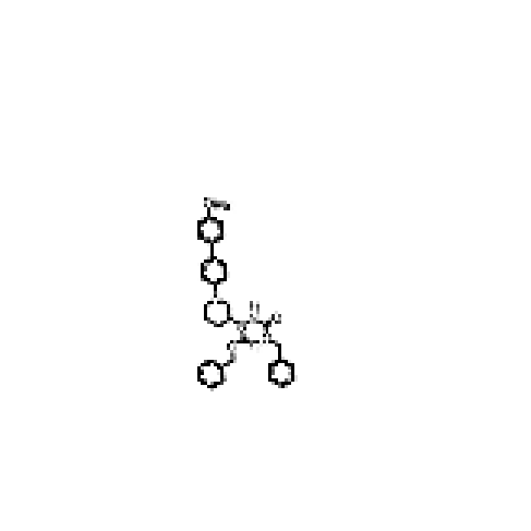 COc1ccc(-c2ccc(N3CCCC(N(NC(=O)OCc4ccccc4)C(=O)OCc4ccccc4)C3)cc2)cc1